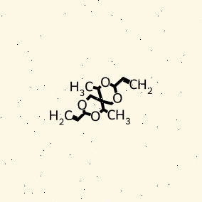 C=CC1OCC2(COC(C=C)OC2C)C(C)O1